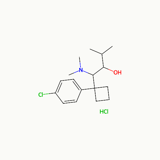 CC(C)C(O)C(N(C)C)C1(c2ccc(Cl)cc2)CCC1.Cl